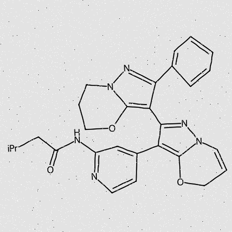 CC(C)CC(=O)Nc1cc(-c2c(-c3c(-c4ccccc4)nn4c3OCCC4)nn3c2OCC=C3)ccn1